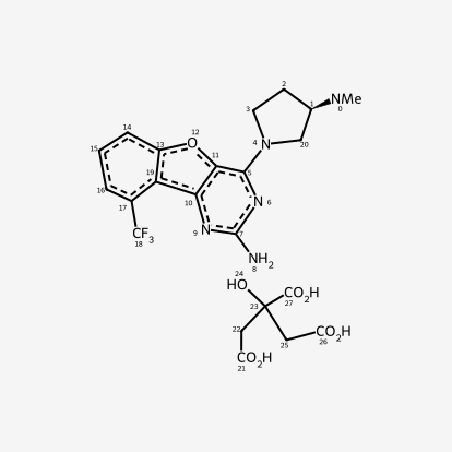 CN[C@@H]1CCN(c2nc(N)nc3c2oc2cccc(C(F)(F)F)c23)C1.O=C(O)CC(O)(CC(=O)O)C(=O)O